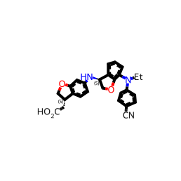 CCN(c1ccc(C#N)cc1)c1cccc2c1OC[C@H]2Nc1ccc2c(c1)OC[C@H]2CC(=O)O